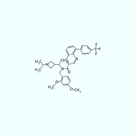 COc1ccc(CN(C(=O)c2cnc3c(-c4ccc(C(F)(F)F)cc4)cccc3c2)C(C)C2CN(C(C)C)C2)c(OC)c1